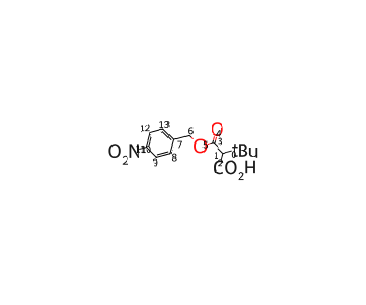 CC(C)(C)C(C(=O)O)C(=O)OCc1ccc([N+](=O)[O-])cc1